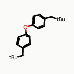 CC(C)(C)Cc1ccc(Oc2ccc(CC(C)(C)C)cc2)cc1